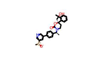 C[C@@H](c1ccc(-c2cncc([S+](C)[O-])c2)cc1)N1CC[C@](CC(C)(C)O)(c2ccccc2)OC1=O